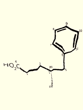 C[C@H](CCC(=O)O)Cc1ccccc1